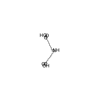 CC1=C(CCCCCCCCCCCCOC(=O)O)CC(CCCCCCCCCCCCOC(=O)O)=C(C)N1